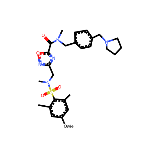 COc1cc(C)c(S(=O)(=O)N(C)Cc2noc(C(=O)N(C)Cc3ccc(CN4CCCC4)cc3)n2)c(C)c1